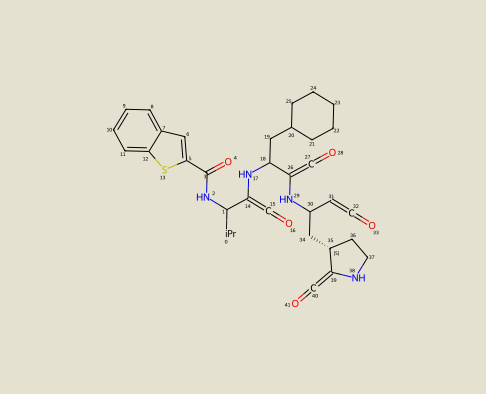 CC(C)C(NC(=O)c1cc2ccccc2s1)C(=C=O)NC(CC1CCCCC1)C(=C=O)NC(C=C=O)C[C@@H]1CCNC1=C=O